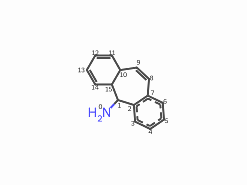 NC1c2ccccc2C=CC2C=CC=CC21